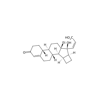 CC[C@]12CC[C@H]3[C@@H](CCC4=CC(=O)CC[C@@H]43)[C@@H]1[C@@H]1CC[C@@H]1[C@@]2(O)/C=C\C(=O)O